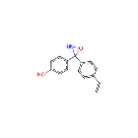 C=Cc1ccc(C2(c3ccc(O)cc3)NO2)cc1